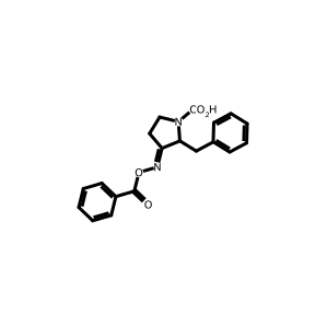 O=C(ON=C1CCN(C(=O)O)C1Cc1ccccc1)c1ccccc1